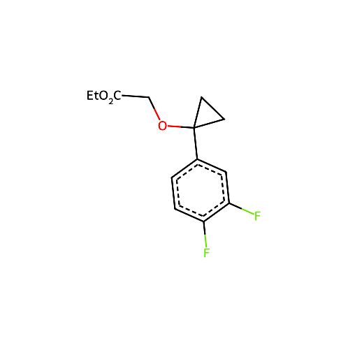 CCOC(=O)COC1(c2ccc(F)c(F)c2)CC1